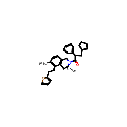 COc1ccc2c(c1CCc1cccs1)C[C@@H](C(C)=O)N(C(=O)C(CC1CCCC1)c1ccccc1)C2